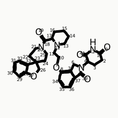 O=C1CCC(N2Cc3c(OCCN4CCCCC4C(=O)N4CCC5(CC4)COc4ccccc45)cccc3C2=O)C(=O)N1